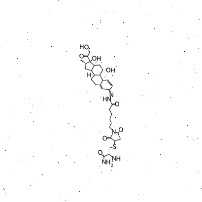 CN[C@@H](CSC1CC(=O)N(CCCCCC(=O)N/N=C2/C=C[C@@]3(C)C(=C2)CC[C@@H]2C3[C@@H](O)C[C@@]3(C)C2C[C@@H](C)[C@]3(O)C(=O)CO)C1=O)C(N)=O